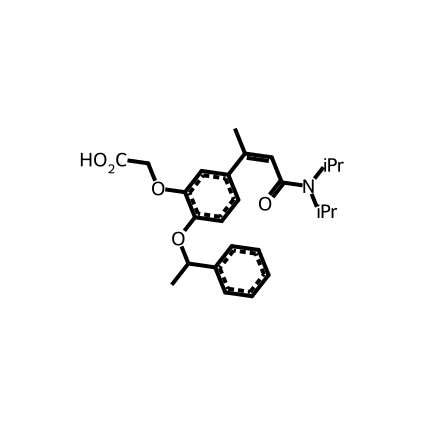 C/C(=C/C(=O)N(C(C)C)C(C)C)c1ccc(OC(C)c2ccccc2)c(OCC(=O)O)c1